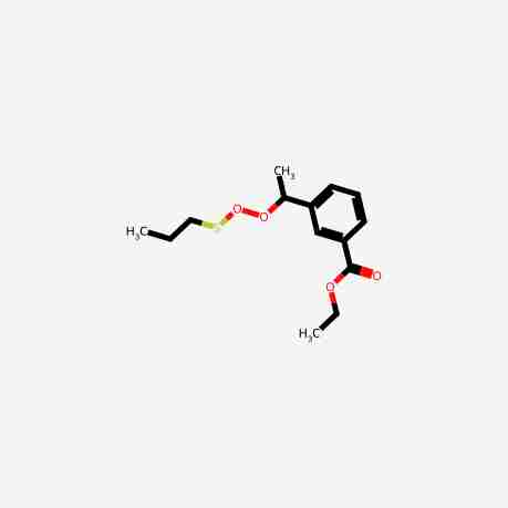 CCCSOOC(C)c1cccc(C(=O)OCC)c1